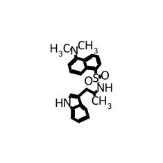 CC(Cc1c[nH]c2ccccc12)NS(=O)(=O)c1cccc2c(N(C)C)cccc12